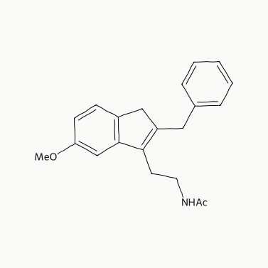 COc1ccc2c(c1)C(CCNC(C)=O)=C(Cc1ccccc1)C2